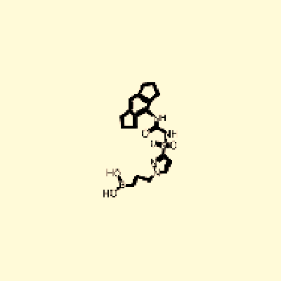 O=C(Nc1c2c(cc3c1CCC3)CCC2)NS(=O)(=O)c1ccn(CCCB(O)O)n1